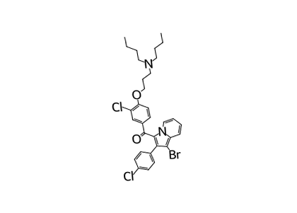 CCCCN(CCCC)CCCOc1ccc(C(=O)c2c(-c3ccc(Cl)cc3)c(Br)c3ccccn23)cc1Cl